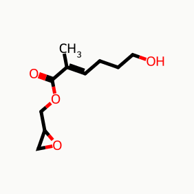 CC(=CCCCO)C(=O)OCC1CO1